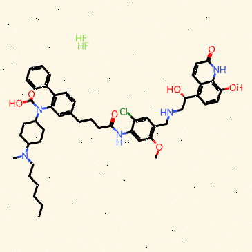 CCCCCCN(C)C1CCC(N(C(=O)O)c2cc(CCCC(=O)Nc3cc(OC)c(CNC[C@@H](O)c4ccc(O)c5[nH]c(=O)ccc45)cc3Cl)ccc2-c2ccccc2)CC1.F.F